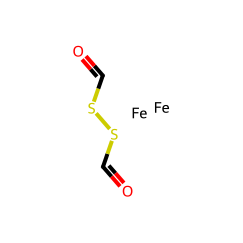 O=CSSC=O.[Fe].[Fe]